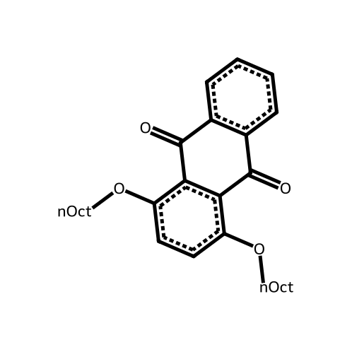 CCCCCCCCOc1ccc(OCCCCCCCC)c2c1C(=O)c1ccccc1C2=O